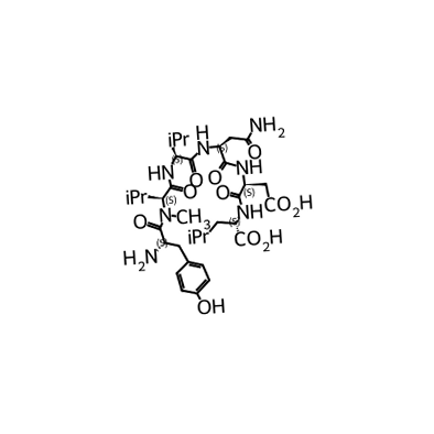 CC(C)C[C@H](NC(=O)[C@H](CC(=O)O)NC(=O)[C@H](CC(N)=O)NC(=O)[C@@H](NC(=O)[C@H](C(C)C)N(C)C(=O)[C@@H](N)Cc1ccc(O)cc1)C(C)C)C(=O)O